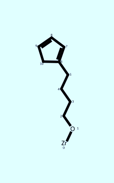 [Zr][O]CCCCC1=CC=CC1